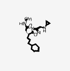 O=C(C[C@@H](CCCC1CCCCC1)c1nc(CNC2CC2)no1)NO